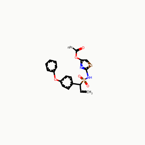 C=CC(c1ccc(Oc2ccccc2)cc1)S(=O)(=O)Nc1nc(OC(=O)CCC)cs1